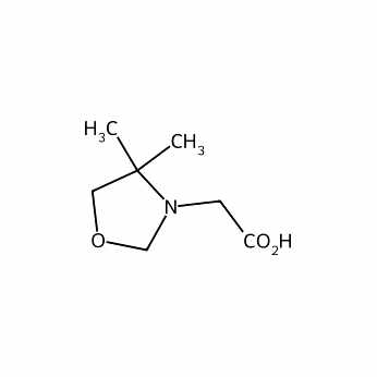 CC1(C)COCN1CC(=O)O